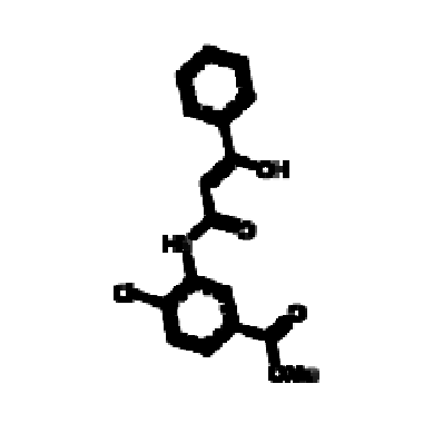 COC(=O)c1ccc(Cl)c(NC(=O)C=C(O)c2ccccc2)c1